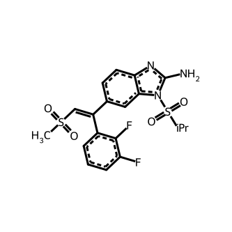 CC(C)S(=O)(=O)n1c(N)nc2ccc(C(=CS(C)(=O)=O)c3cccc(F)c3F)cc21